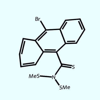 CSN(SC)C(=S)c1c2ccccc2c(Br)c2ccccc12